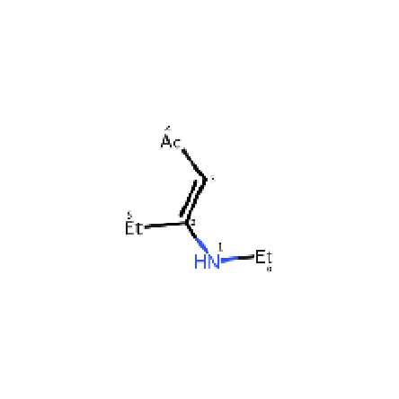 CCNC(=CC(C)=O)CC